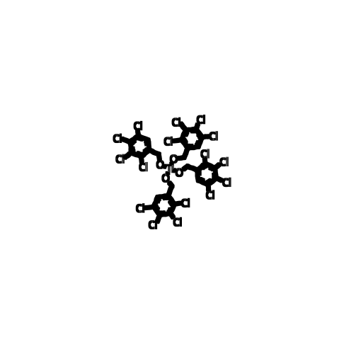 Clc1cc(C[O][Ti]([O]Cc2cc(Cl)c(Cl)c(Cl)c2Cl)([O]Cc2cc(Cl)c(Cl)c(Cl)c2Cl)[O]Cc2cc(Cl)c(Cl)c(Cl)c2Cl)c(Cl)c(Cl)c1Cl